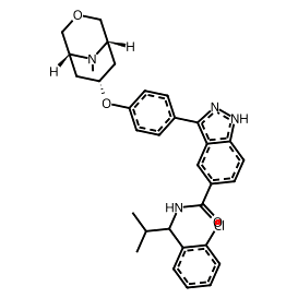 CC(C)C(NC(=O)c1ccc2[nH]nc(-c3ccc(O[C@H]4C[C@H]5COC[C@@H](C4)N5C)cc3)c2c1)c1ccccc1Cl